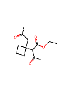 CCOC(=O)C(C(C)=O)C1(CC(C)=O)CCC1